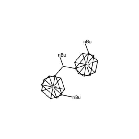 CCCCC([C]12[CH]3[CH]4[CH]5[C]1(CCCC)[Fe]45321678[CH]2[CH]1[CH]6[CH]7[CH]28)[C]12[CH]3[CH]4[CH]5[C]1(CCCC)[Fe]45321678[CH]2[CH]1[CH]6[CH]7[CH]28